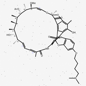 CO[C@H]1/C=C/O[C@@]2(C)Oc3c(C)c(O)c4c(=O)c(c5oc6cc(OCCCCN(C)C)ccc6nc-5c4c3C2=O)NC(=O)/C(C)=C\C=C\[C@H](C)[C@H](O)[C@@H](C)[C@@H](C)[C@@H](C)[C@H](OC(C)=O)[C@@H]1C